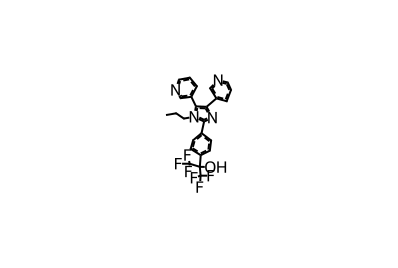 CCCn1c(-c2ccc(C(O)(C(F)(F)F)C(F)(F)F)cc2)nc(-c2cccnc2)c1-c1cccnc1